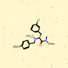 COc1ccc(CN(C(=O)O)[C@@H](Cc2cccc(Cl)c2)C(=O)N(C)OC)cc1